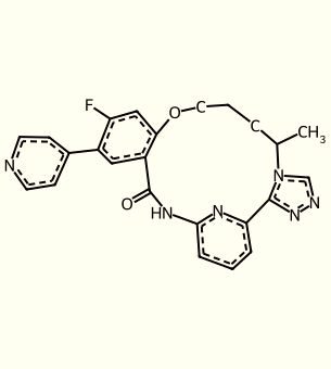 CC1CCCOc2cc(F)c(-c3ccncc3)cc2C(=O)Nc2cccc(n2)-c2nncn21